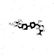 CON(Cc1ccc(-c2ccc([C@H](O)[C@@H](CF)NC(=O)C(F)F)cc2)cn1)S(C)(=O)=O